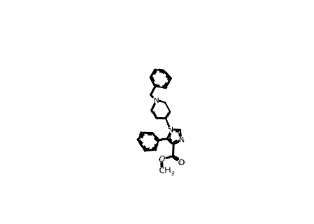 COC(=O)c1ncn(C2CCN(Cc3ccccc3)CC2)c1-c1ccccc1